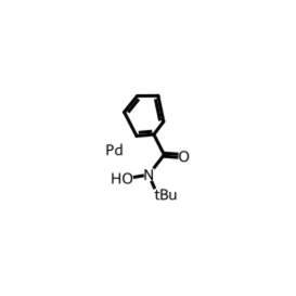 CC(C)(C)N(O)C(=O)c1ccccc1.[Pd]